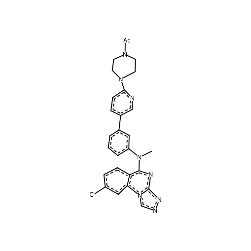 CC(=O)N1CCN(c2ccc(-c3cccc(N(C)c4nc5nncn5c5cc(Cl)ccc45)c3)cn2)CC1